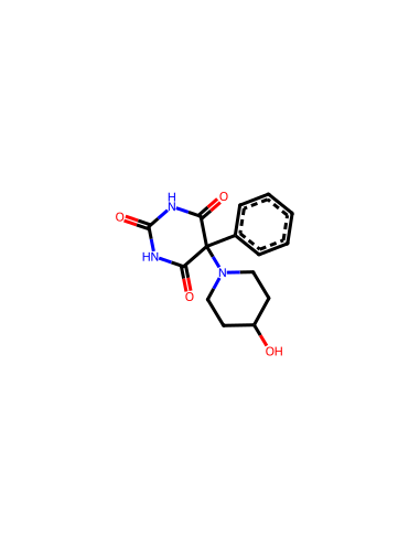 O=C1NC(=O)C(c2ccccc2)(N2CCC(O)CC2)C(=O)N1